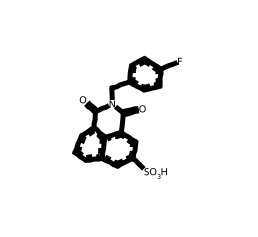 O=C1c2cccc3cc(S(=O)(=O)O)cc(c23)C(=O)N1Cc1ccc(F)cc1